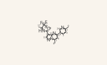 Cc1ccc(-c2cc(C)n3ncc(C(=O)N[C@@H](C)C(F)(F)F)c3n2)cn1